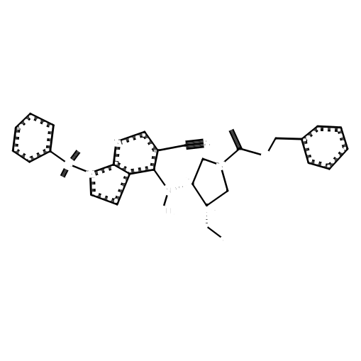 CC[C@H]1CN(C(=O)OCc2ccccc2)C[C@H]1N(C)c1c(C#N)cnc2c1ccn2S(=O)(=O)c1ccccc1